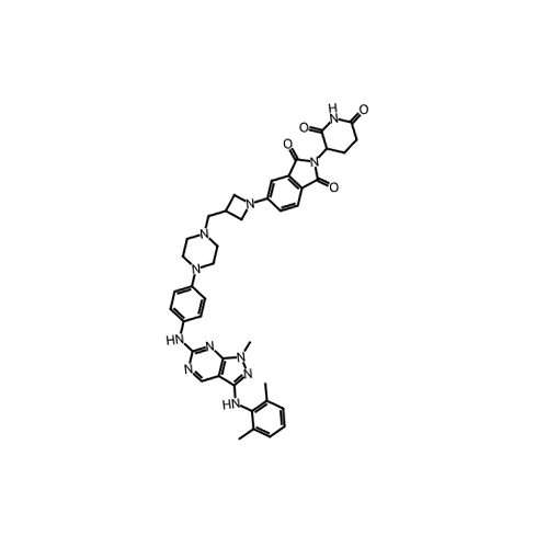 Cc1cccc(C)c1Nc1nn(C)c2nc(Nc3ccc(N4CCN(CC5CN(c6ccc7c(c6)C(=O)N(C6CCC(=O)NC6=O)C7=O)C5)CC4)cc3)ncc12